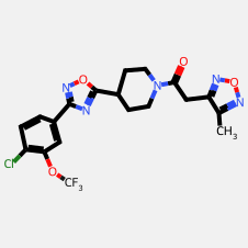 Cc1nonc1CC(=O)N1CCC(c2nc(-c3ccc(Cl)c(OC(F)(F)F)c3)no2)CC1